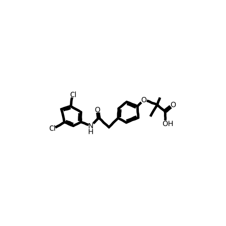 CC(C)(Oc1ccc(CC(=O)Nc2cc(Cl)cc(Cl)c2)cc1)C(=O)O